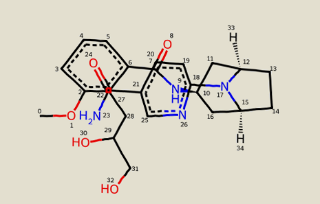 COc1cccc(C(=O)N[C@H]2C[C@H]3CC[C@@H](C2)N3c2ccc(C(N)=O)cn2)c1CC(O)CO